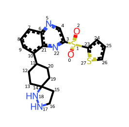 O=S(=O)(c1cnc2cccc(C3CCC4(CCNN4)CC3)c2n1)c1cccs1